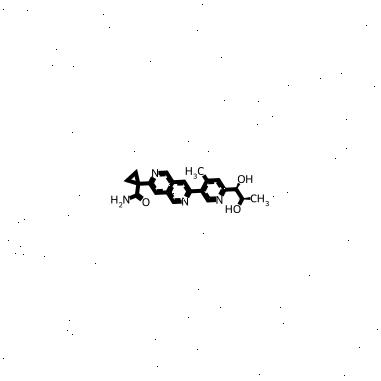 Cc1cc([C@@H](O)[C@@H](C)O)ncc1-c1cc2cnc(C3(C(N)=O)CC3)cc2cn1